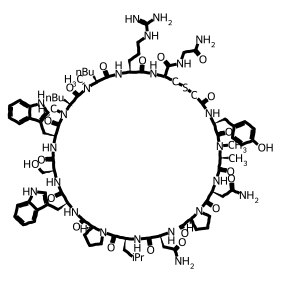 CCCC[C@H]1C(=O)N(C)[C@@H](CCCC)C(=O)N[C@@H](CCCNC(=N)N)C(=O)NC(C(=O)NCC(N)=O)CSCC(=O)N[C@@H](Cc2ccc(O)cc2)C(=O)N(C)[C@@H](C)C(=O)N[C@@H](CC(N)=O)C(=O)N2CCC[C@H]2C(=O)N[C@@H](CC(N)=O)C(=O)N[C@@H](CC(C)C)C(=O)N2CCC[C@H]2C(=O)N[C@@H](Cc2c[nH]c3ccccc23)C(=O)N[C@@H](CO)C(=O)N[C@@H](Cc2c[nH]c3ccccc23)C(=O)N1C